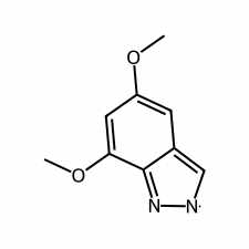 COc1cc(OC)c2c(c1)=C[N]N=2